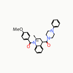 COc1ccc(C(=O)N2c3ccccc3C(C(=O)N3CCN(c4ccccc4)CC3)C[C@@H]2C)cc1